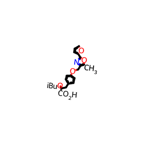 CCC(C)OC(Cc1ccc(OCc2nc(-c3ccco3)oc2C)cc1)C(=O)O